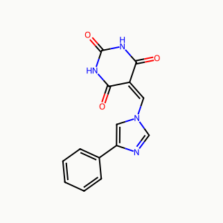 O=C1NC(=O)C(=Cn2cnc(-c3ccccc3)c2)C(=O)N1